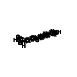 O=C1CCC(Nc2ccc(C3CCN(CC(=O)N4CCN(c5ccc(-c6cnc7[nH]ccc7c6)cn5)CC4)CC3)cc2)C(=O)N1